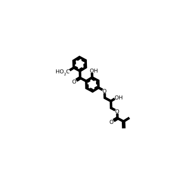 C=C(C)C(=O)OCC(O)COc1ccc(C(=O)c2ccccc2C(=O)O)c(O)c1